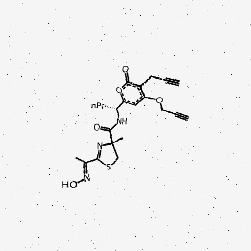 C#CCOc1cc([C@@H](CCC)NC(=O)[C@]2(C)CSC(/C(C)=N/O)=N2)oc(=O)c1CC#C